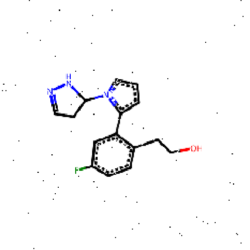 OCCc1ccc(F)cc1-c1cccn1C1CC=NN1